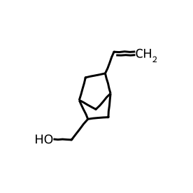 C=CC1CC2CC1CC2CO